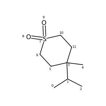 CC(C)C1(C)CCS(=O)(=O)CC1